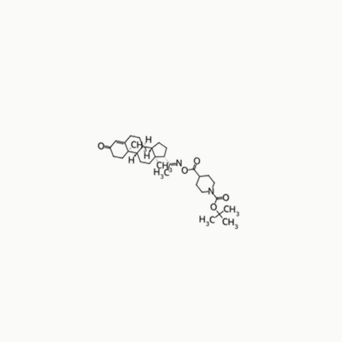 C/C(=N\OC(=O)C1CCN(C(=O)OC(C)(C)C)CC1)[C@H]1CC[C@H]2[C@@H]3CCC4=CC(=O)CC[C@]4(C)[C@H]3CC[C@]12C